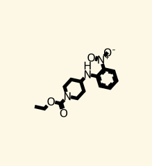 CCOC(=O)N1CCC(Nc2ccccc2[N+](=O)[O-])CC1